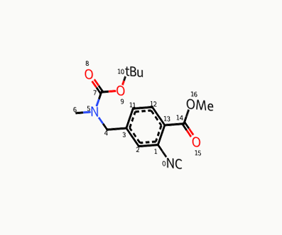 [C-]#[N+]c1cc(CN(C)C(=O)OC(C)(C)C)ccc1C(=O)OC